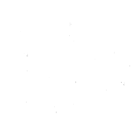 C[Si](C)(Cl)C1=CC[C]([Cr][c]2ccc3ncccc3c2)=C1.Cl.Cl